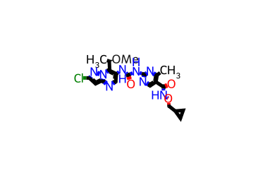 CO[C@@H](C)c1c(NC(=O)Nc2ncc(C(=O)NOCC3CC3)c(C)n2)cnc2cc(Cl)nn12